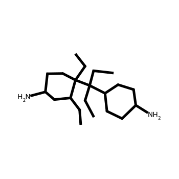 CCC1CC(N)CCC1(CC)C(CC)(CC)C1CCC(N)CC1